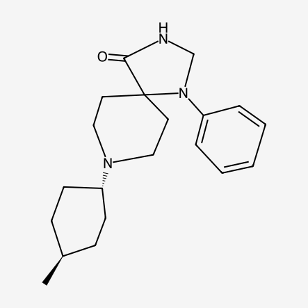 C[C@H]1CC[C@H](N2CCC3(CC2)C(=O)NCN3c2ccccc2)CC1